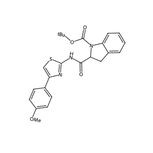 COc1ccc(-c2csc(NC(=O)C3Cc4ccccc4N3C(=O)OC(C)(C)C)n2)cc1